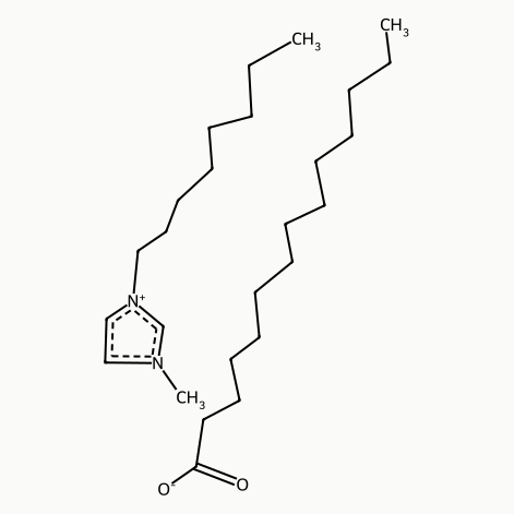 CCCCCCCCCCCCCC(=O)[O-].CCCCCCCC[n+]1ccn(C)c1